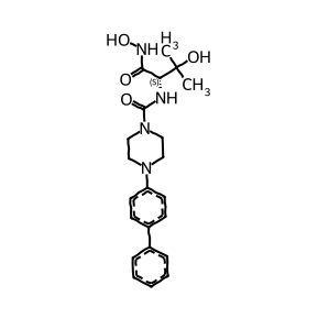 CC(C)(O)[C@H](NC(=O)N1CCN(c2ccc(-c3ccccc3)cc2)CC1)C(=O)NO